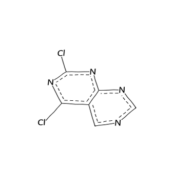 Clc1nc(Cl)c2cncnc2n1